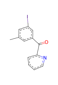 Cc1cc(I)cc(C(=O)c2ccccn2)c1